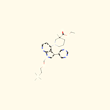 CCOC(=O)C1(C)CCCN(c2ccnc3c2c(-c2cncnc2)cn3COCC[Si](C)(C)C)C1